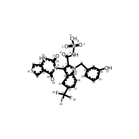 CS(=O)(=O)NC(=O)c1c(-n2c(=O)[nH]c3cscc3c2=O)c2cc(C(F)(F)F)ccc2n1Cc1cccc(O)c1